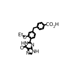 CCOc1cc(Cc2ccc(C(=O)O)cc2)ccc1-c1nc2[nH]cnc2c(=O)[nH]1